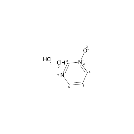 Cl.Cl.[O-][n+]1cccnc1